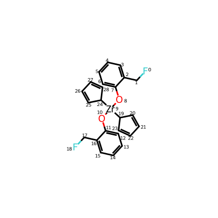 FCc1ccccc1[O][Zr]([O]c1ccccc1CF)([CH]1C=CC=C1)[CH]1C=CC=C1